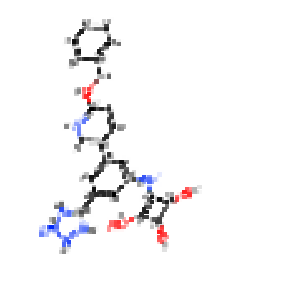 O=c1c(O)c(Nc2cc(-c3ccc(OCc4ccccc4)nc3)cc(-c3nn[nH]n3)c2)c1=O